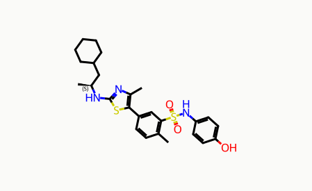 Cc1ccc(-c2sc(N[C@@H](C)CC3CCCCC3)nc2C)cc1S(=O)(=O)Nc1ccc(O)cc1